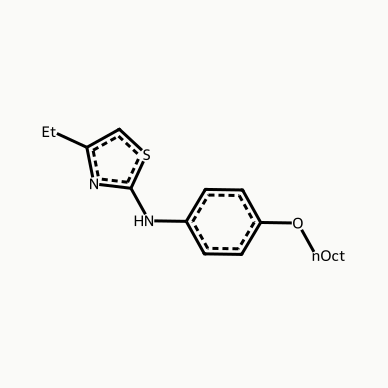 CCCCCCCCOc1ccc(Nc2nc(CC)cs2)cc1